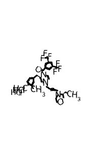 CC[C@H]1COCCN1CC#CCN1CCN(C(=O)c2cc(C(F)(F)F)cc(C(F)(F)F)c2)[C@H](Cc2ccc(C)c(C)c2)C1.Cl.Cl